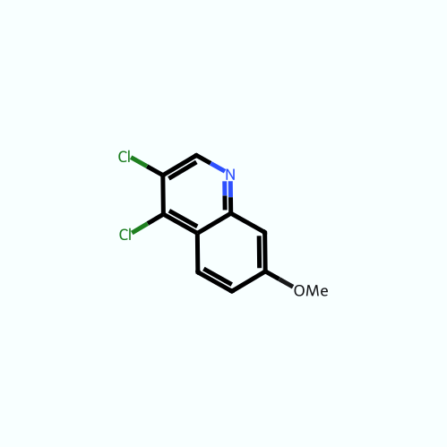 COc1ccc2c(Cl)c(Cl)cnc2c1